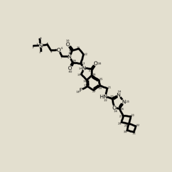 C[Si](C)(C)CCOCN1C(=O)CCC(N2Cc3c(F)cc(CNc4nnc(C5CC6(CCC6)C5)o4)cc3C2=O)C1=O